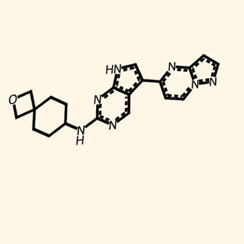 c1cc2nc(-c3c[nH]c4nc(NC5CCC6(CC5)COC6)ncc34)ccn2n1